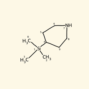 C[Si](C)(C)C1CCNCC1